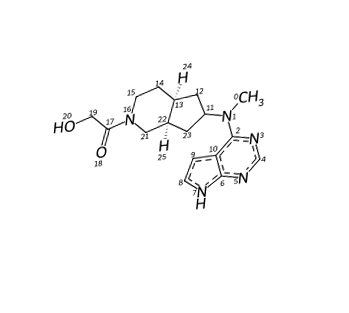 CN(c1ncnc2[nH]ccc12)C1C[C@@H]2CCN(C(=O)CO)C[C@@H]2C1